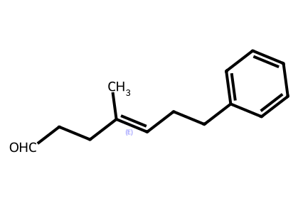 C/C(=C\CCc1ccccc1)CCC=O